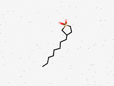 CCCCCCCCC1CCS(=O)(=O)C1